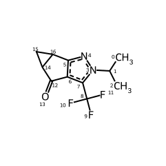 CC(C)n1nc2c(c1C(F)(F)F)C(=O)C1CC21